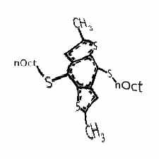 CCCCCCCCSc1c2cc(C)sc2c(SCCCCCCCC)c2cc(C)sc12